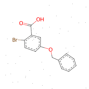 O=C(O)c1cc(OCc2ccccc2)ccc1Br